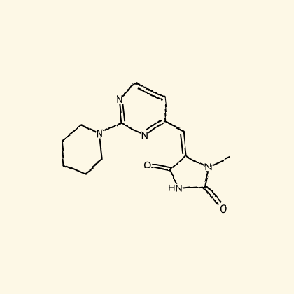 CN1C(=O)NC(=O)/C1=C\c1ccnc(N2CCCCC2)n1